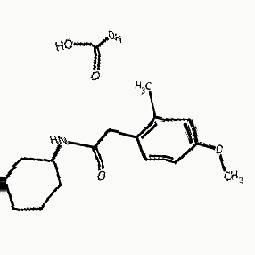 COc1ccc(CC(=O)NC2CCCCC2)c(C)c1.O=C(O)O